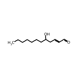 CCCCCCCC(O)CC=CC=O